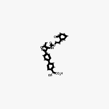 CC[C@@H](C(=O)O)c1ccc(-c2ccc(-c3noc(C)c3NC(=O)OCCc3ccccc3Cl)cc2)cc1